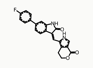 O=C1Nc2cc(-c3ccc(F)cc3)ccc2C1=Cc1[nH]cc2c1CCOC2=O